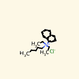 CCCCC[N+](CC)(CC)c1cccc2ccccc12.[Cl-]